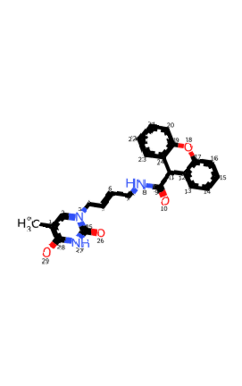 Cc1cn(CC=CCNC(=O)C2c3ccccc3Oc3ccccc32)c(=O)[nH]c1=O